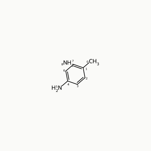 Cc1ccc(N)cc1.N